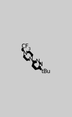 CC(C)(C)c1ccc(N2CCN(CC(F)(F)F)CC2)nn1